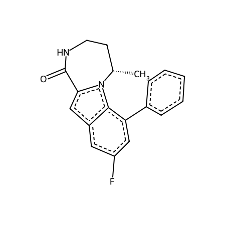 C[C@H]1CCNC(=O)c2cc3cc(F)cc(-c4ccccc4)c3n21